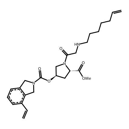 C=CCCCCCNCC(=O)N1C[C@H](OC(=O)N2Cc3cccc(C=C)c3C2)C[C@H]1C(=O)OC